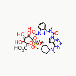 CNS(=O)(=O)C[C@H]1CC[C@H](N(C)c2ncnc3c2ccn3C(=O)N(C)Cc2ccccc2NC(=O)O[C@@H]2O[C@H](C(=O)O)[C@@H](O)[C@H](O)[C@H]2O)CC1